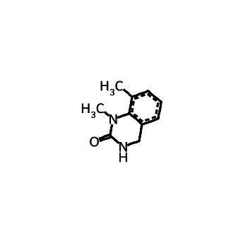 Cc1cccc2c1N(C)C(=O)NC2